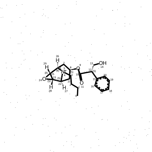 CCCC[N+]1(C)[C@@H]2C[C@@H](OC(=O)[C@H](CO)c3ccccc3)C[C@H]1[C@@H]1O[C@@H]12